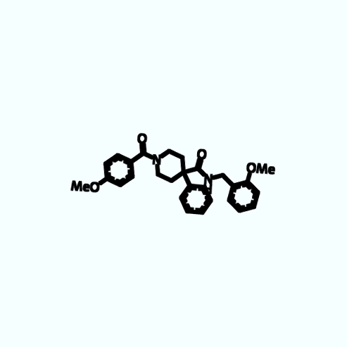 COc1ccc(C(=O)N2CCC(C(=O)NCc3ccccc3OC)(c3ccccc3)CC2)cc1